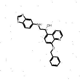 O[C@@H](CNc1ccc2scnc2c1)c1ccc(OCc2ccccc2)c2ncccc12